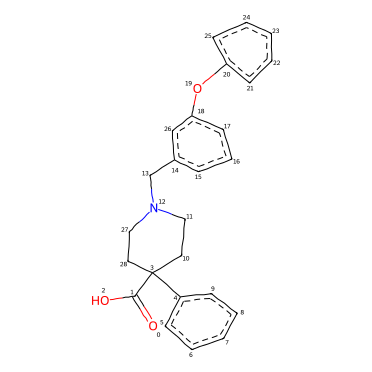 O=C(O)C1(c2ccccc2)CCN(Cc2cccc(Oc3ccccc3)c2)CC1